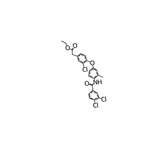 CCOC(=O)Cc1ccc(Oc2ccc(NC(=O)c3ccc(Cl)c(Cl)c3)c(C)c2)c(Cl)c1